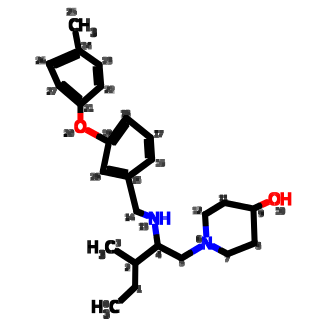 CCC(C)C(CN1CCC(O)CC1)NCc1cccc(Oc2ccc(C)cc2)c1